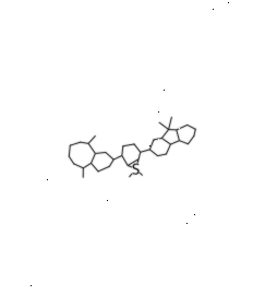 CC1CCCCC(C)C2CC(C3CCC(C4CCC5C6CCCCC6C(C)(C)C5C4)C4C3S4(C)C)CCC12